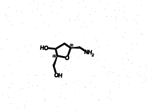 NC[C@@H]1CC(O)[C@H](CO)O1